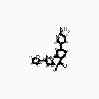 Cn1c(=O)c2ccc(-c3ccc(N)nc3)cc2n2nc(-c3ccco3)cc12